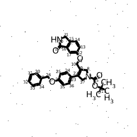 CC(C)(C)OC(=O)N1CC(COc2ccc3c(c2)C(=O)NC3)=C(c2ccc(OCc3ccccc3)cc2)C1